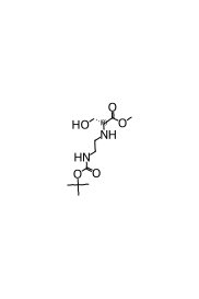 COC(=O)[C@@H](CO)NCCNC(=O)OC(C)(C)C